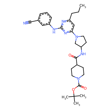 CCCc1cc(N2CCC(NC(=O)C3CCN(C(=O)OC(C)(C)C)CC3)C2)nc(Nc2cccc(C#N)c2)n1